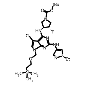 CCn1cc(Nc2nc(N[C@H]3CN(C(=O)OC(C)(C)C)C[C@@H]3F)c3c(Cl)cn(COCC[Si](C)(C)C)c3n2)cn1